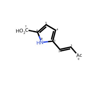 CC(=O)/C=C/c1ccc(C(=O)O)[nH]1